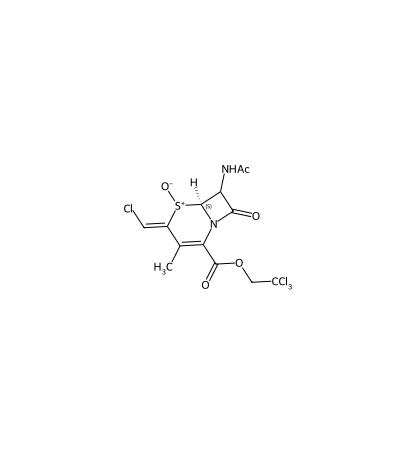 CC(=O)NC1C(=O)N2C(C(=O)OCC(Cl)(Cl)Cl)=C(C)C(=CCl)[S+]([O-])[C@@H]12